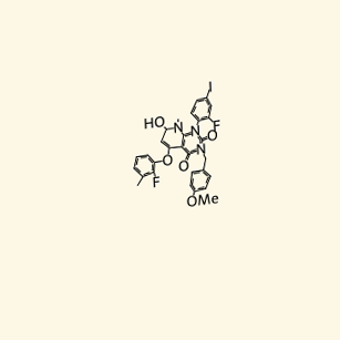 COc1ccc(Cn2c(=O)c3c(n(-c4ccc(I)cc4F)c2=O)N(C)C(O)C=C3Oc2cccc(C)c2F)cc1